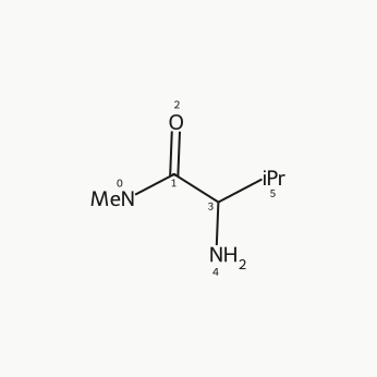 CNC(=O)C(N)C(C)C